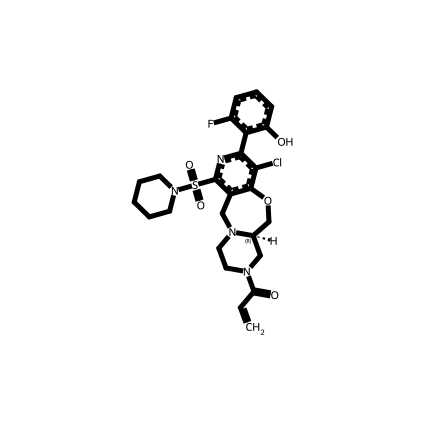 C=CC(=O)N1CCN2Cc3c(S(=O)(=O)N4CCCCC4)nc(-c4c(O)cccc4F)c(Cl)c3OC[C@H]2C1